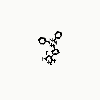 Fc1nc(F)c(F)c(-c2cccc(-c3nc(-c4ccccc4)nc(-c4ccccc4)n3)c2)c1F